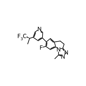 Cc1nnc2n1-c1cc(F)c(-c3cncc([C@@H](C)C(F)(F)F)c3)cc1CC2